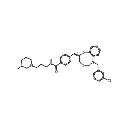 CC1CCCN(CCCNC(=O)c2ccc(/C=C3\COCN(Cc4cccc(Cl)c4)c4ccccc4S3)cc2)C1